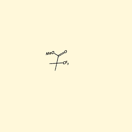 COC(=O)C(C)(C)C(F)(F)F